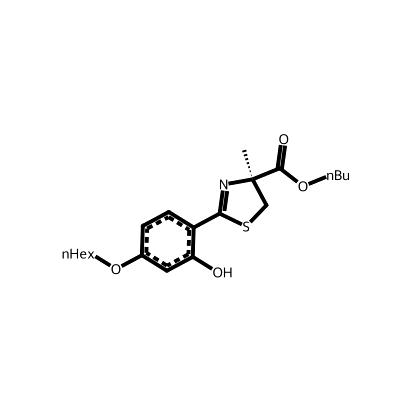 CCCCCCOc1ccc(C2=N[C@@](C)(C(=O)OCCCC)CS2)c(O)c1